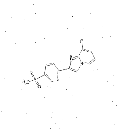 CS(=O)(=O)c1ccc(-c2cn3cccc(F)c3n2)cc1